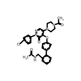 CC(=O)NCc1ccccc1-c1ccc(Oc2c(N3CCN(C(C)=O)CC3)cnn(-c3ccc(Cl)cc3)c2=O)cc1